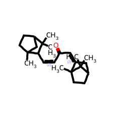 CC12CCC(C1)C(C)(C)C2/C=C\C(=O)/C=C1/CC2CCC1(C)C2(C)C